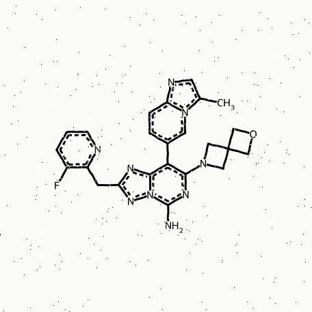 Cc1cnc2ccc(-c3c(N4CC5(COC5)C4)nc(N)n4nc(Cc5ncccc5F)nc34)cn12